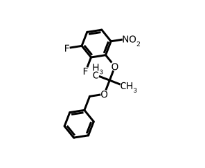 CC(C)(OCc1ccccc1)Oc1c([N+](=O)[O-])ccc(F)c1F